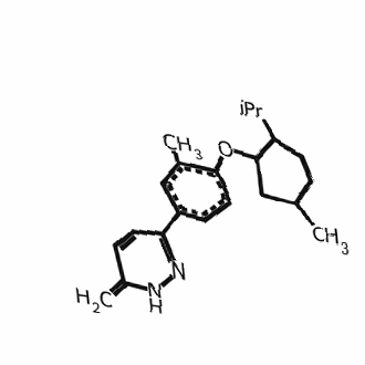 C=C1C=CC(c2ccc(OC3CC(C)CCC3C(C)C)c(C)c2)=NN1